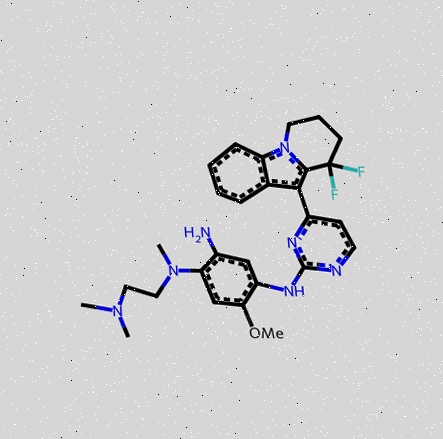 COc1cc(N(C)CCN(C)C)c(N)cc1Nc1nccc(-c2c3n(c4ccccc24)CCCC3(F)F)n1